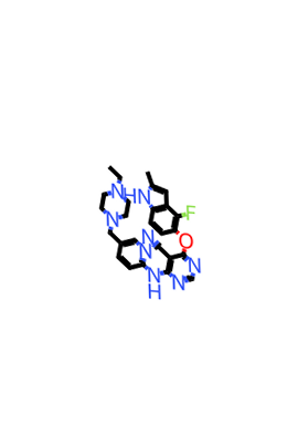 CCN1CCN(Cc2ccc(Nc3ncnc(Oc4ccc5[nH]c(C)cc5c4F)c3C#N)nc2)CC1